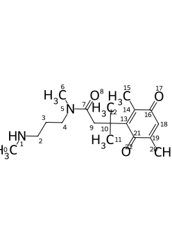 CNCCCN(C)C(=O)CC(C)(C)C1=C(C)C(=O)C=C(C)C1=O